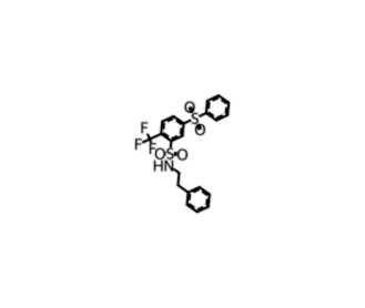 O=S(=O)(NCCc1ccccc1)c1cc(S(=O)(=O)c2ccccc2)ccc1C(F)(F)F